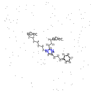 CCCCCCCCCCCCCCCCCn1cc(CCCc2ccccc2)nc1CCCCCCCCCCCCC